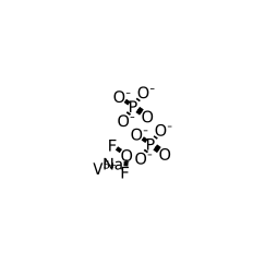 FOF.O=P([O-])([O-])[O-].O=P([O-])([O-])[O-].[Na+].[V+5]